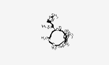 C/C1=C/C[C@@H](/C(C)=C/c2csc(C)n2)OC(=O)C[C@H](O)C(C)(C)S(=O)(=O)[C@H](C)[C@@H](O)[C@@H](C)CCC1